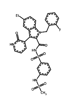 CCc1ccc2c(c1)c(-c1ccc[nH]c1=O)c(C(=O)NS(=O)(=O)c1cccc(NS(C)(=O)=O)c1)n2Cc1ccccc1F